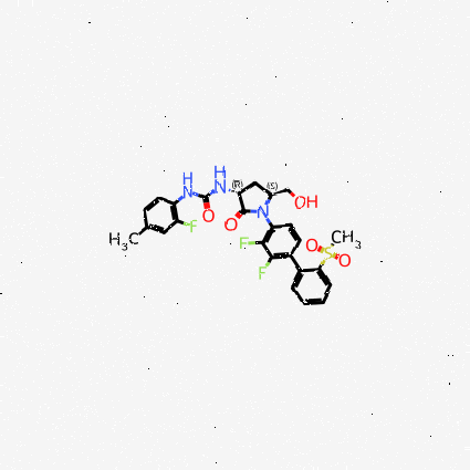 Cc1ccc(NC(=O)N[C@@H]2C[C@@H](CO)N(c3ccc(-c4ccccc4S(C)(=O)=O)c(F)c3F)C2=O)c(F)c1